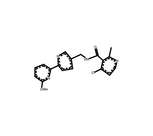 COc1cccc(-c2ccc(CNC(=O)c3c(Cl)ccnc3C)cn2)n1